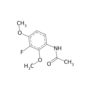 COc1ccc(NC(C)=O)c(OC)c1F